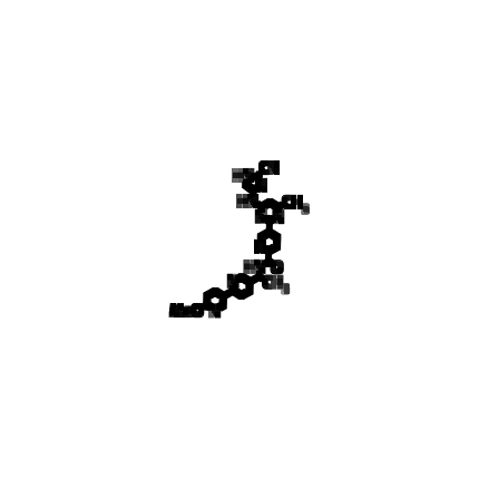 COc1ccc(-c2ccc(C(C)NC(=O)c3ccc(-c4nc(C)cc(Nc5c[nH]c(C#N)n5)n4)cn3)cn2)cn1